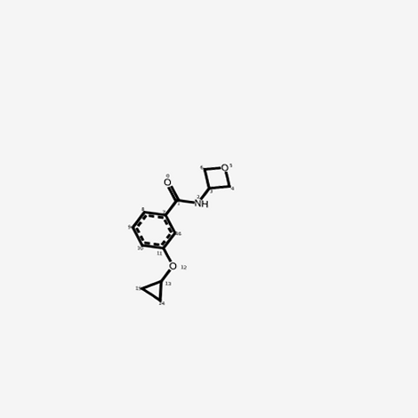 O=C(NC1COC1)c1cccc(OC2CC2)c1